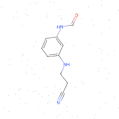 N#CCCNc1cccc(NC=O)c1